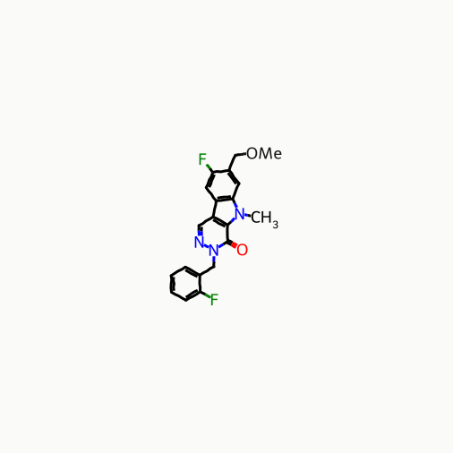 COCc1cc2c(cc1F)c1cnn(Cc3ccccc3F)c(=O)c1n2C